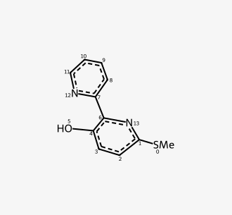 CSc1ccc(O)c(-c2ccccn2)n1